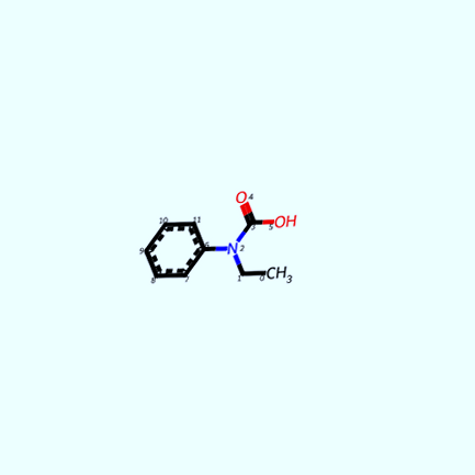 CCN(C(=O)O)c1cc[c]cc1